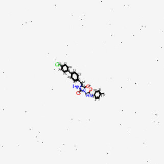 Cc1ccc(NC(=O)CN2C(=O)N/C(=C\c3ccc(-c4ccc(Cl)cc4)cc3)C2=O)cc1